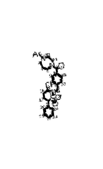 CC(=O)N1CCCN(C(=O)c2ccc(CN3[C@@H](C)CCC(c4ccccc4)S3(=O)=O)cc2)CC1